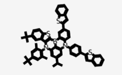 Cc1cc(C(C)(C)C)cc(C)c1N1c2cc(C(C)C)cc3c2B(c2cc(-c4cc5ccccc5s4)ccc2N3c2ccc(-c3cc4ccccc4s3)cc2)c2sc3ccc(C(C)(C)C)cc3c21